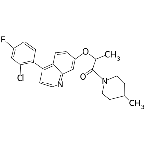 CC1CCN(C(=O)C(C)Oc2ccc3c(-c4ccc(F)cc4Cl)ccnc3c2)CC1